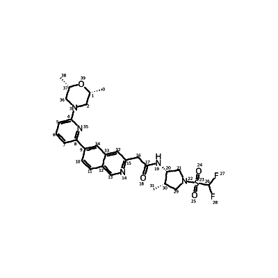 C[C@@H]1CN(c2cccc(-c3ccc4cnc(CC(=O)N[C@@H]5CN(S(=O)(=O)C(F)F)C[C@@H]5C)cc4c3)n2)C[C@H](C)O1